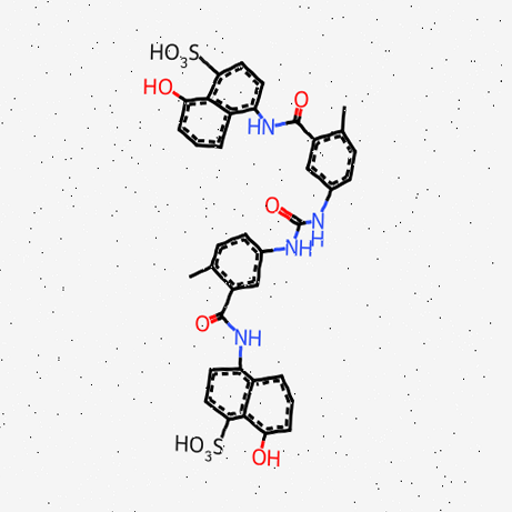 Cc1ccc(NC(=O)Nc2ccc(C)c(C(=O)Nc3ccc(S(=O)(=O)O)c4c(O)cccc34)c2)cc1C(=O)Nc1ccc(S(=O)(=O)O)c2c(O)cccc12